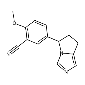 COc1ccc(C2CCc3cncn32)cc1C#N